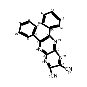 N#Cc1nc2nc(-c3ccccc3)c(-c3ccccc3)nc2nc1C#N